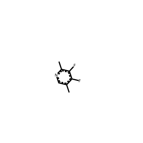 Cc1cnc(C)c(F)c1F